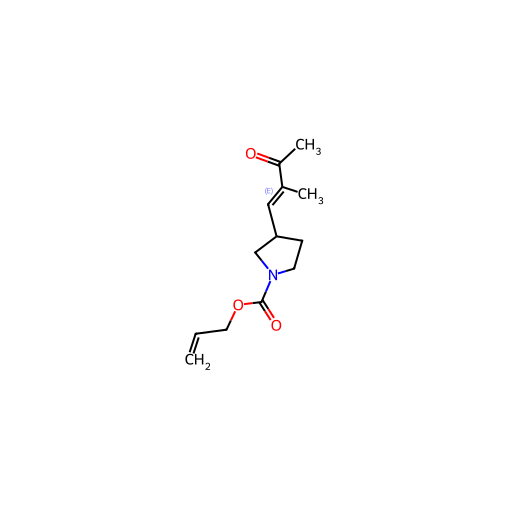 C=CCOC(=O)N1CCC(/C=C(\C)C(C)=O)C1